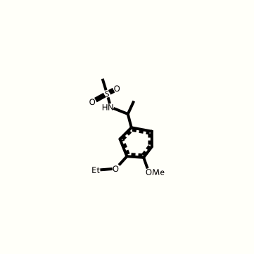 CCOc1cc(C(C)NS(C)(=O)=O)ccc1OC